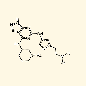 CCN(CC)CCn1cc(Nc2nc(N[C@@H]3CCCN(C(C)=O)C3)c3cn[nH]c3n2)cn1